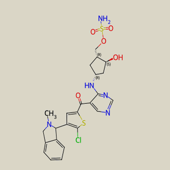 CN1Cc2ccccc2C1c1cc(C(=O)c2cncnc2N[C@@H]2C[C@H](COS(N)(=O)=O)[C@@H](O)C2)sc1Cl